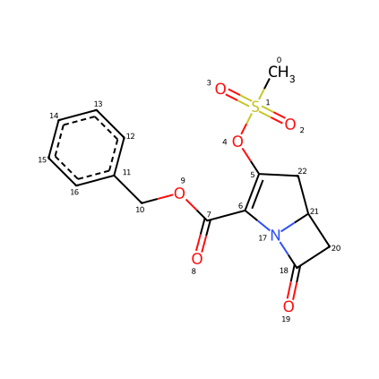 CS(=O)(=O)OC1=C(C(=O)OCc2ccccc2)N2C(=O)CC2C1